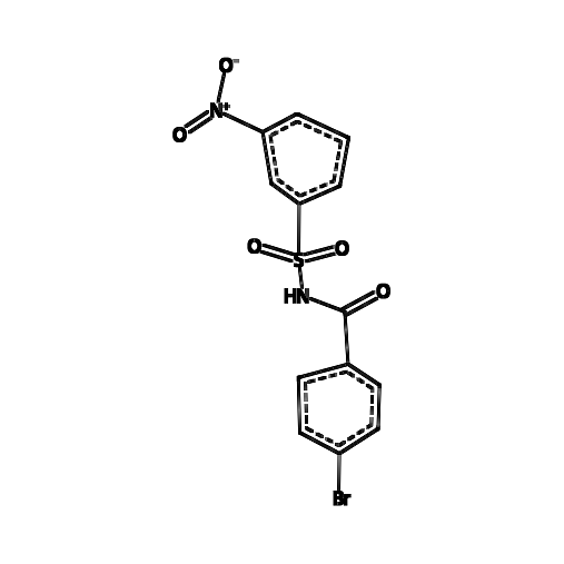 O=C(NS(=O)(=O)c1cccc([N+](=O)[O-])c1)c1ccc(Br)cc1